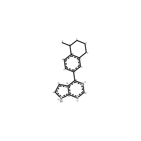 CC1CCCc2cc(-c3ncnc4[nH]ccc34)ccc21